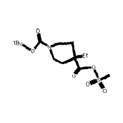 CCC1(C(=O)OS(C)(=O)=O)CCN(C(=O)OC(C)(C)C)CC1